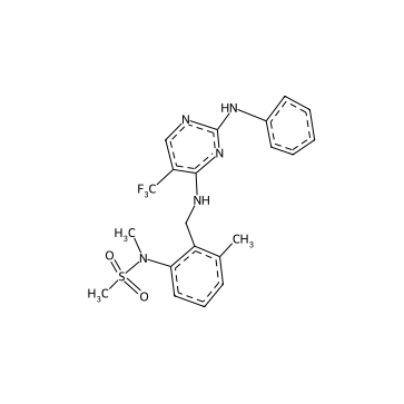 Cc1cccc(N(C)S(C)(=O)=O)c1CNc1nc(Nc2ccccc2)ncc1C(F)(F)F